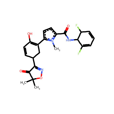 Cn1c(C(=O)NC2C(F)=CC=CC2F)ccc1C1=C(O)C=CC(C2=NOC(C)(C)C2=O)C1